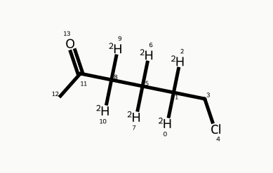 [2H]C([2H])(CCl)C([2H])([2H])C([2H])([2H])C(C)=O